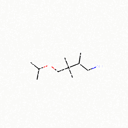 CC(C)OCC(C)(C)C(C)CN